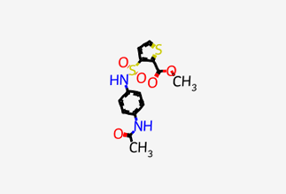 COC(=O)c1sccc1S(=O)(=O)Nc1ccc(NC(C)=O)cc1